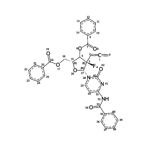 C=C=C[C@@]1(F)C(OC(=O)c2ccccc2)[C@@H](COC(=O)c2ccccc2)O[C@H]1n1ccc(NC(=O)c2ccccc2)nc1=O